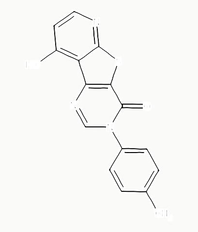 Cc1ccc(-n2cnc3c(sc4nccc(O)c43)c2=O)cc1